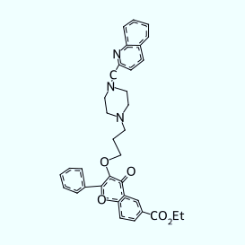 CCOC(=O)c1ccc2oc(-c3ccccc3)c(OCCCN3CCN(Cc4ccc5ccccc5n4)CC3)c(=O)c2c1